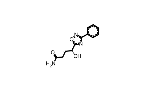 NC(=O)C[CH][C@@H](O)c1nc(-c2ccccc2)no1